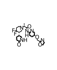 C[C@@H](C(=O)Nc1ccc(OCc2ncco2)cn1)N1CCC(F)(F)[C@@H](c2ccc(=O)[nH]c2)C1